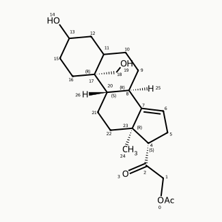 CC(=O)OCC(=O)[C@H]1CC=C2[C@@H]3CCC4CC(O)CC[C@]4(CO)[C@H]3CC[C@@]21C